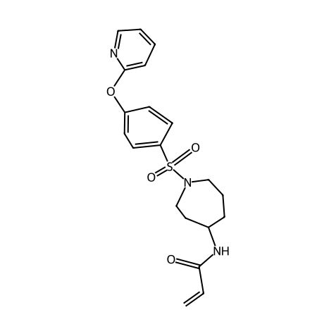 C=CC(=O)NC1CCCN(S(=O)(=O)c2ccc(Oc3ccccn3)cc2)CC1